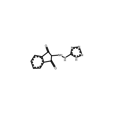 O=C1c2ccccc2C(=O)C1NNc1nnn[nH]1